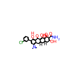 CN(C)c1cc(-c2cccc(Cl)c2)c(O)c2c1C[C@H]1C[C@H]3CC(O)=C(C(N)=O)C(=O)[C@@]3(O)C(O)=C1C2=O